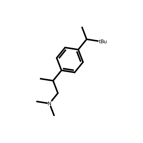 CC(CN(C)C)c1ccc(C(C)C(C)(C)C)cc1